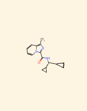 O=C(NC(C1CC1)C1CC1)c1nc(C(F)(F)F)c2ccccn12